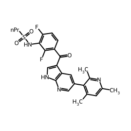 CCCS(=O)(=O)Nc1c(F)ccc(C(=O)c2c[nH]c3ncc(-c4c(C)cc(C)nc4C)cc23)c1F